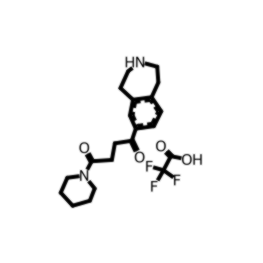 O=C(CCC(=O)N1CCCCC1)c1ccc2c(c1)CCNCC2.O=C(O)C(F)(F)F